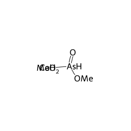 CO[AsH](=O)OC.[CaH2]